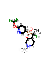 CC(F)(C1CCN(C(=O)O)CC1)S(=O)(=O)c1ccc(OC(F)F)nc1